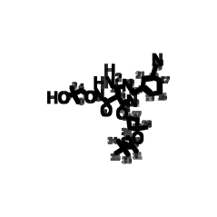 CC(C)(O)CONC(=O)c1c(N)nc(-c2cccc(C#N)c2)nc1OC1CC(C)(O[Si](C)(C)C(C)(C)C)C1